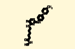 CN1CCN(c2ccc(Nc3ncc(F)c(NCCCCCC(=O)NO)n3)cc2)CC1